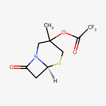 CC1(OC(=O)C(F)(F)F)CS[C@H]2CC(=O)N2C1